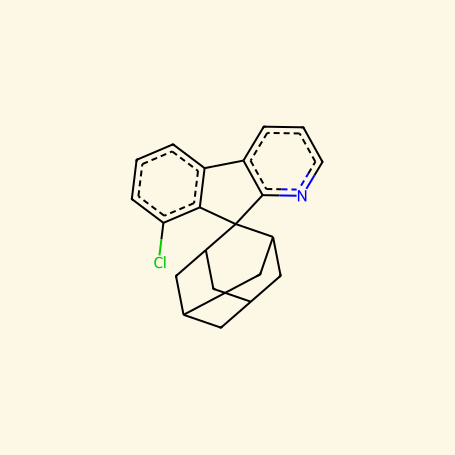 Clc1cccc2c1C1(c3ncccc3-2)C2CC3CC(C2)CC1C3